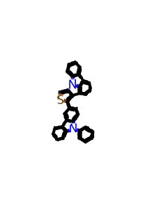 c1ccc(-n2c3ccccc3c3cc(-c4scc5c4c4cccc6c7ccccc7n5c64)ccc32)cc1